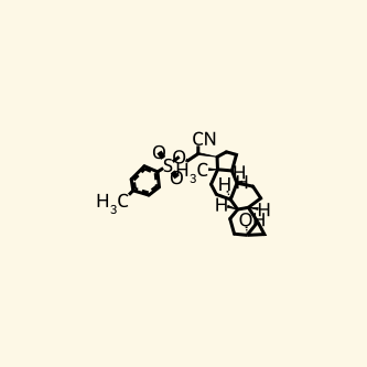 Cc1ccc(S(=O)(=O)OCC(C#N)[C@H]2CC[C@H]3[C@@H]4CC[C@@H]5C6C[C@@]6(O)CC[C@@H]5[C@H]4CC[C@]23C)cc1